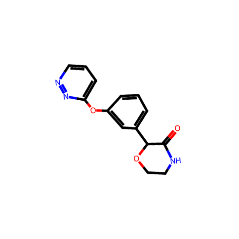 O=C1NCCOC1c1cccc(Oc2cccnn2)c1